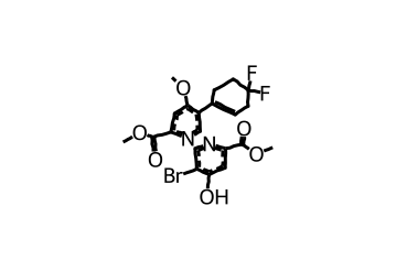 COC(=O)c1cc(O)c(Br)cn1.COC(=O)c1cc(OC)c(C2=CCC(F)(F)CC2)cn1